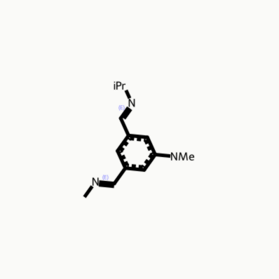 C/N=C/c1cc(/C=N/C(C)C)cc(NC)c1